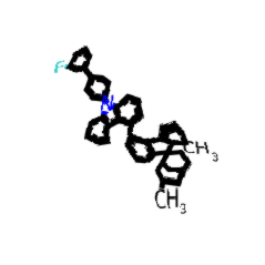 CC1CC2CC(C)C3(c4ccccc4-c4c(-c5cccc6c5c5ccccc5n6-c5ccc(-c6cccc(F)c6)cc5)cccc43)C(C1)C2